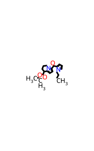 CCCCn1cccc1C(=O)c1ccc2n1CCCC2C(=O)OC(C)C